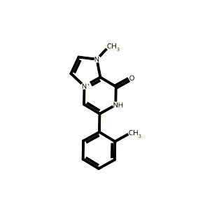 Cc1ccccc1-c1c[n+]2ccn(C)c2c(=O)[nH]1